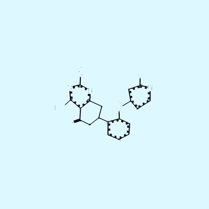 Cc1nc(N)nc2c1C(=O)CC(c1ccccc1Oc1ccnc(Cl)c1)C2